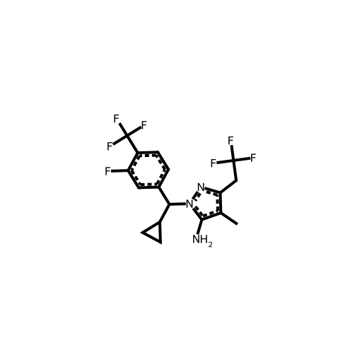 Cc1c(CC(F)(F)F)nn(C(c2ccc(C(F)(F)F)c(F)c2)C2CC2)c1N